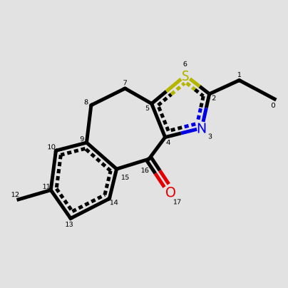 CCc1nc2c(s1)CCc1cc(C)ccc1C2=O